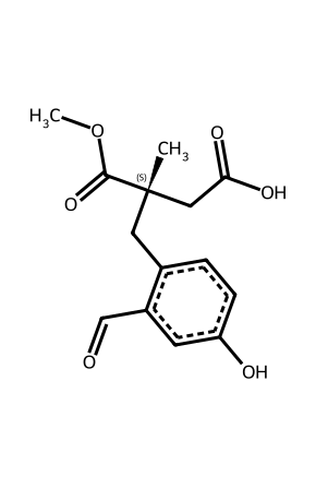 COC(=O)[C@](C)(CC(=O)O)Cc1ccc(O)cc1C=O